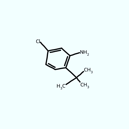 CC(C)(C)c1ccc(Cl)cc1N